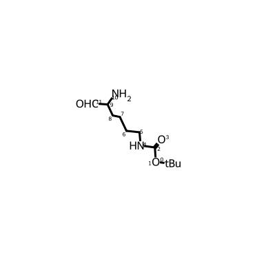 CC(C)(C)OC(=O)NCCCCC(N)C=O